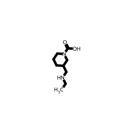 CCNCC1CCCN(C(=O)O)C1